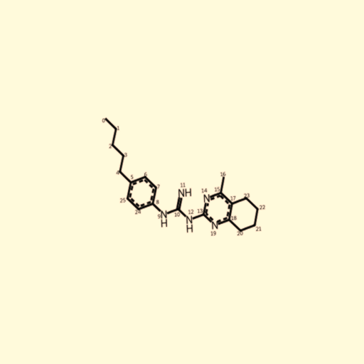 CCCCCc1ccc(NC(=N)Nc2nc(C)c3c(n2)CCCC3)cc1